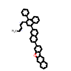 C/C=C\C=C/c1cc(-c2ccc3cc(-c4ccc5c(c4)oc4cc6ccccc6cc45)ccc3c2)c2ccccc2c1-c1ccccc1